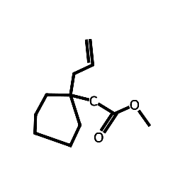 C=CCC1(CC(=O)OC)CCCCC1